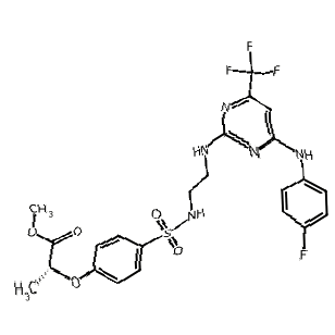 COC(=O)[C@@H](C)Oc1ccc(S(=O)(=O)NCCNc2nc(Nc3ccc(F)cc3)cc(C(F)(F)F)n2)cc1